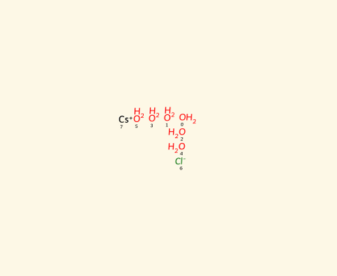 O.O.O.O.O.O.[Cl-].[Cs+]